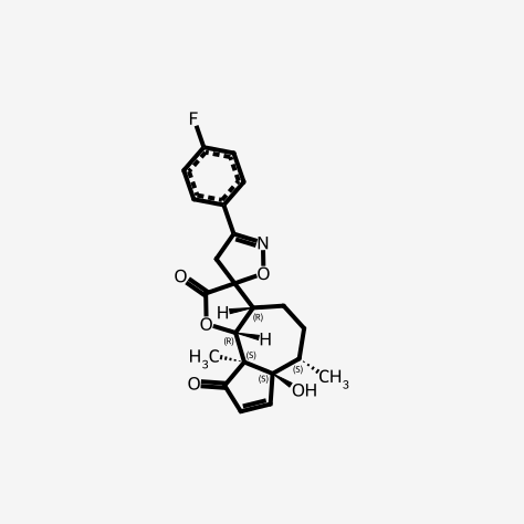 C[C@H]1CC[C@@H]2[C@@H](OC(=O)C23CC(c2ccc(F)cc2)=NO3)[C@]2(C)C(=O)C=C[C@@]12O